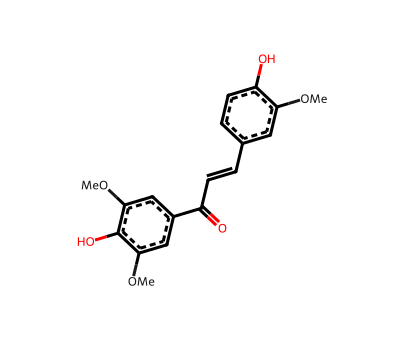 COc1cc(/C=C/C(=O)c2cc(OC)c(O)c(OC)c2)ccc1O